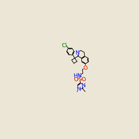 Cc1nc(S(=O)(=O)NCCOc2ccc3c(c2)C(C2(c4ccc(Cl)cc4)CCC2)=NCC3)cn1C